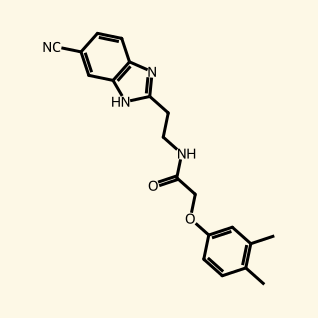 Cc1ccc(OCC(=O)NCCc2nc3ccc(C#N)cc3[nH]2)cc1C